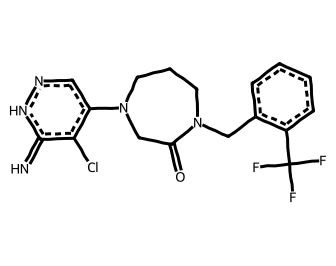 N=c1[nH]ncc(N2CCCN(Cc3ccccc3C(F)(F)F)C(=O)C2)c1Cl